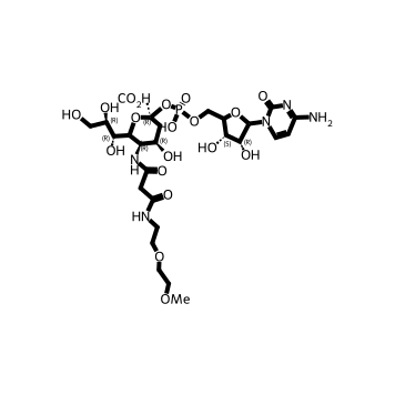 COCCOCCNC(=O)CC(=O)N[C@H]1C([C@H](O)[C@H](O)CO)O[C@](OP(=O)(O)OCC2OC(n3ccc(N)nc3=O)[C@H](O)[C@@H]2O)(C(=O)O)C[C@H]1O